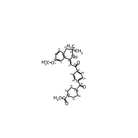 COc1ccc2c(c1)C(=CC(=O)c1ccc(C(=O)N3CCN(C(C)=O)CC3)cc1)NC(C)(C)C2